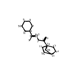 C=C(C/N=C(\C)C1CCCCC1)C12CCC(CC1)C2